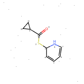 O=C(SC1C=CC=CN1)C1CC1